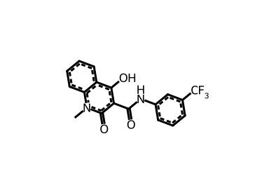 Cn1c(=O)c(C(=O)Nc2cccc(C(F)(F)F)c2)c(O)c2ccccc21